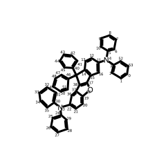 c1ccc(N(c2ccccc2)c2ccc3c(c2)-c2oc4ccc(N(c5ccccc5)c5ccccc5)cc4c2C3(c2ccccc2)c2ccccc2)cc1